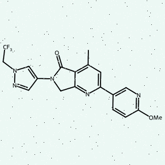 COc1ccc(-c2cc(C)c3c(n2)CN(c2cnn(CC(F)(F)F)c2)C3=O)cn1